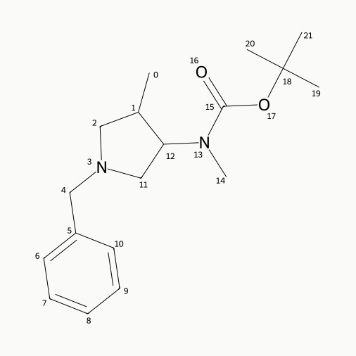 CC1CN(Cc2ccccc2)CC1N(C)C(=O)OC(C)(C)C